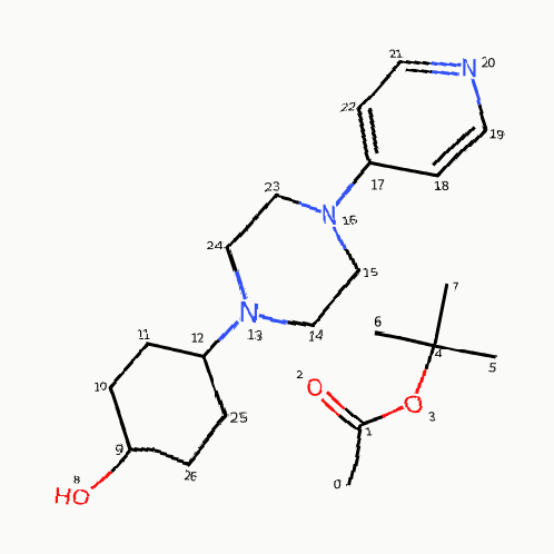 CC(=O)OC(C)(C)C.OC1CCC(N2CCN(c3ccncc3)CC2)CC1